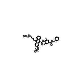 Cc1cc(C(=O)OCc2ccccc2)cc(C)c1OC(=O)c1c2ccccc2[n+](CCCCS(=O)(=O)O)c2ccc(OP(C)(C)=O)cc12